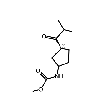 COC(=O)NC1CC[C@H](C(=O)C(C)C)C1